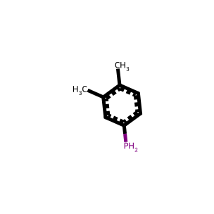 Cc1ccc(P)cc1C